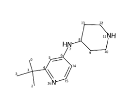 CC(C)(C)c1cc(NC2CCNCC2)ccn1